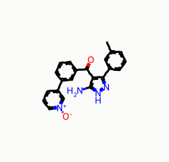 Cc1cccc(-c2n[nH]c(N)c2C(=O)c2cccc(-c3ccc[n+]([O-])c3)c2)c1